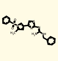 Cc1cc(-c2csc(/N=C(\N)NCc3ccccc3)n2)cn1S(=O)(=O)c1ccccc1